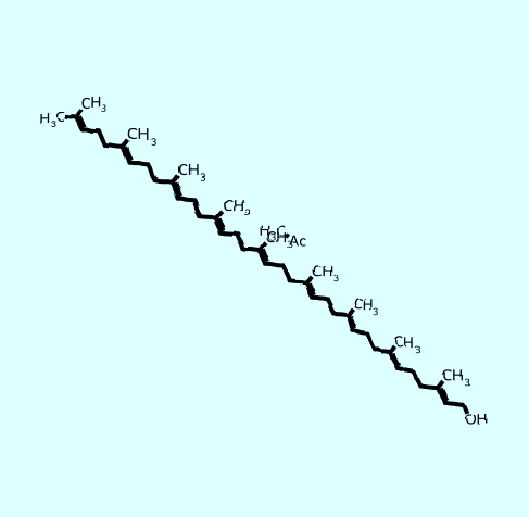 CC(C)=CCC/C(C)=C/CC/C(C)=C/CC/C(C)=C/CC/C(C)=C/CC/C(C)=C/CC/C(C)=C/CC/C(C)=C/CC/C(C)=C/CO.CC(C)=O